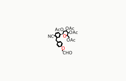 CC(=O)OCC1O[C@@H](c2ccc(C#N)c(Cc3ccc(OCC=O)cc3)c2)[C@H](OC(C)=O)C(OC(C)=O)C1OC(C)=O